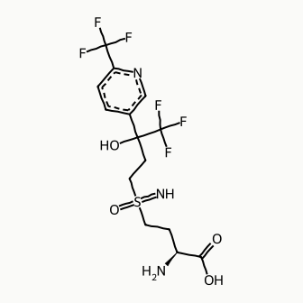 N=S(=O)(CC[C@H](N)C(=O)O)CCC(O)(c1ccc(C(F)(F)F)nc1)C(F)(F)F